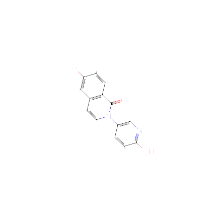 O=c1c2ccc(O)cc2ccn1-c1ccc(O)nc1